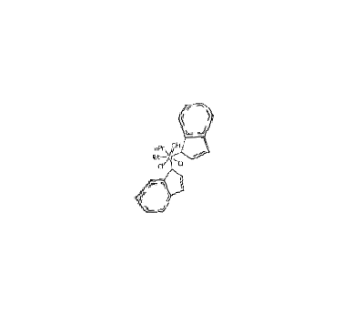 [CH2]=[Zr]([Cl])([Cl])([CH2]C)([CH2]CC)([CH]1C=Cc2ccccc21)[CH]1C=Cc2ccccc21